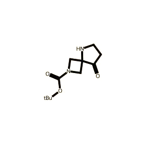 CC(C)(C)OC(=O)N1CC2(C1)NCCC2=O